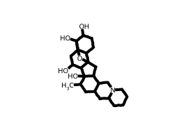 CC1CC2CC3CCCCN3CC2C2CC34OC5(O)C(O)CCC3C5CC(O)C4C12O